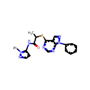 CC(Sc1ncnc2c1cnn2-c1ccccc1)C(=O)Nc1ccnn1C(C)C